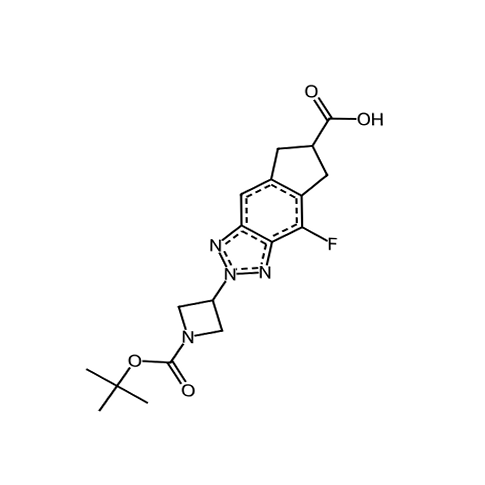 CC(C)(C)OC(=O)N1CC(n2nc3cc4c(c(F)c3n2)CC(C(=O)O)C4)C1